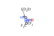 CCOC(=O)CCCCCCc1c[nH]c2c(CN(Cc3cc(C(F)(F)F)cc(C(F)(F)F)c3)c3ncc(N4CCOCC4)cn3)cccc12